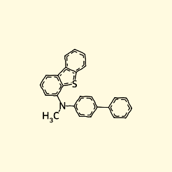 CN(c1ccc(-c2ccccc2)cc1)c1cccc2c1sc1ccccc12